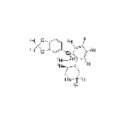 [2H]c1c([2H])c(C2CC([2H])([2H])NC[C@]2([2H])C([2H])([2H])Oc2ccc3c(c2)OC([2H])([2H])O3)c([2H])c([2H])c1F